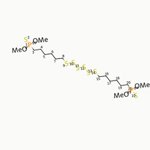 COP(=S)(CCCCCCSSSSSSCCCCCCP(=S)(OC)OC)OC